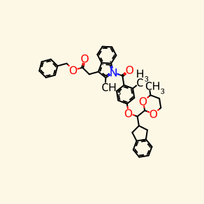 Cc1cc(OC(C2Cc3ccccc3C2)C2OCCC(C)O2)ccc1C(=O)n1c(C)c(CC(=O)OCc2ccccc2)c2ccccc21